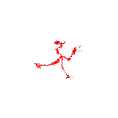 CC(=O)NC1[C@H](OCCCCCCOP(=O)(O)OCCCOCC(COCCCOP(=O)(O)OCCCCCCO[C@@H]2OC(CO)[C@H](O)[C@H](O)C2C)(COCCCOP(=O)(O)OCCCCCCO[C@@H]2OC(CO)[C@H](O)[C@H](O)C2C)COP(=O)(O)OCOCC(CO)COCOP(=O)(O)O[C@H]2C[C@H](n3cnc4c(N)ncnc43)C[C@@H]2COP(=O)(O)C(C)C)OC(CO)[C@H](O)[C@@H]1O